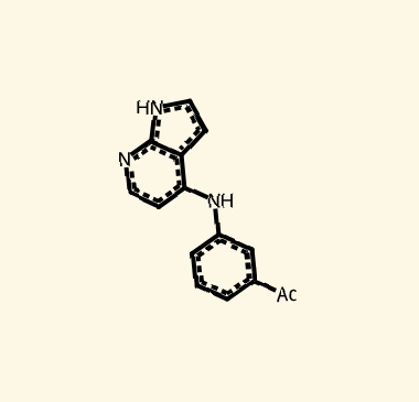 CC(=O)c1cccc(Nc2ccnc3[nH]ccc23)c1